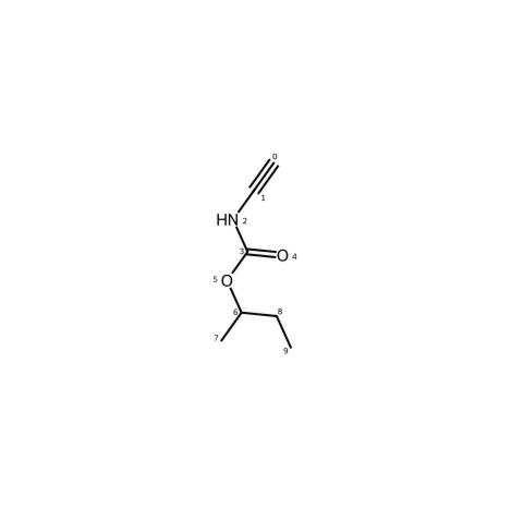 C#CNC(=O)OC(C)CC